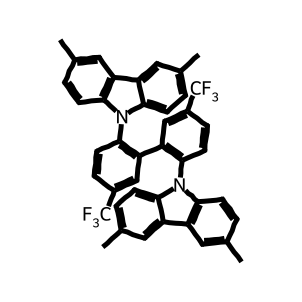 Cc1ccc2c(c1)c1cc(C)ccc1n2-c1ccc(C(F)(F)F)cc1-c1cc(C(F)(F)F)ccc1-n1c2ccc(C)cc2c2cc(C)ccc21